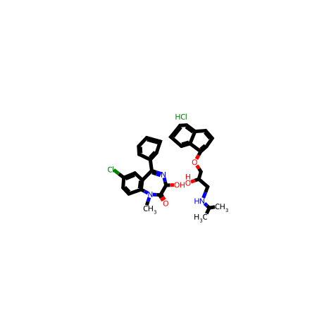 CC(C)NCC(O)COc1cccc2ccccc12.CN1C(=O)C(O)N=C(c2ccccc2)c2cc(Cl)ccc21.Cl